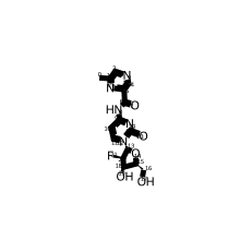 Cc1cncc(C(=O)Nc2ccn([C@@H]3O[C@H](CO)[C@@H](O)[C@H]3F)c(=O)n2)n1